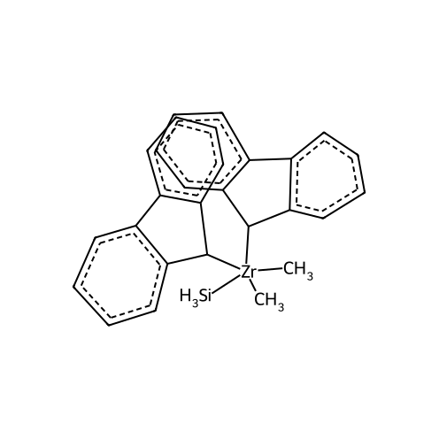 [CH3][Zr]([CH3])([SiH3])([CH]1c2ccccc2-c2ccccc21)[CH]1c2ccccc2-c2ccccc21